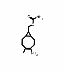 C/C1=C(\N)CCC2C(CC1)C2COC(N)=O